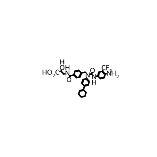 Nc1ccc(NC(=O)N(Cc2ccc(C(=O)NC[C@@H](O)C(=O)O)cc2)c2ccc(C3=CCCCC3)cc2)cc1C(F)(F)F